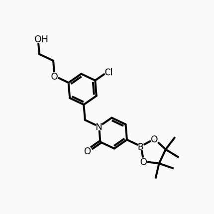 CC1(C)OB(c2ccn(Cc3cc(Cl)cc(OCCO)c3)c(=O)c2)OC1(C)C